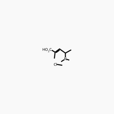 CC(=CC(C)N(C)C)C(=O)O.CCl